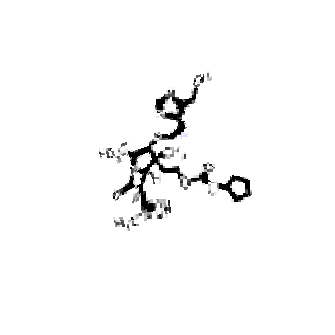 C[C@@H](O)[C@H]1C(=O)N2C(C(=O)O)=C(S/C=C\c3scnc3CO)C(C)(CCOC(=O)OC3CCCC3)[C@H]12